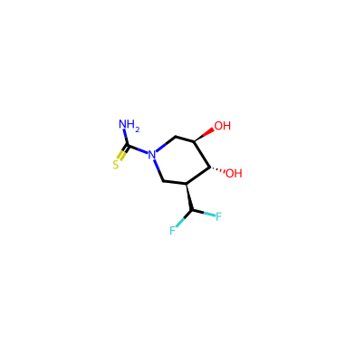 NC(=S)N1C[C@@H](O)[C@H](O)[C@@H](C(F)F)C1